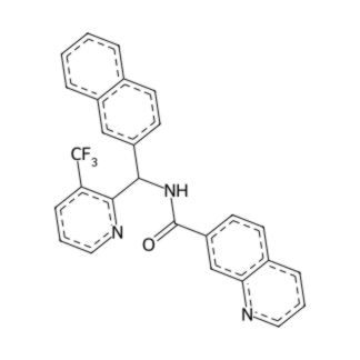 O=C(NC(c1ccc2ccccc2c1)c1ncccc1C(F)(F)F)c1ccc2cccnc2c1